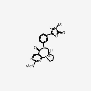 CCn1nc(-c2cccc(N3C[C@@H]4CCCN4c4nc(NC)ncc4C3=O)c2)oc1=O